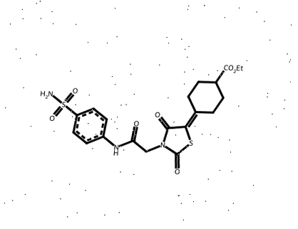 CCOC(=O)C1CCC(=C2SC(=O)N(CC(=O)Nc3ccc(S(N)(=O)=O)cc3)C2=O)CC1